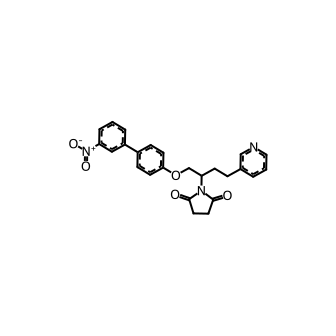 O=C1CCC(=O)N1C(CCc1cccnc1)COc1ccc(-c2cccc([N+](=O)[O-])c2)cc1